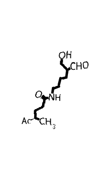 CC(=O)[C@@H](C)CCC(=O)NCCCCC(C=O)CO